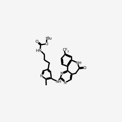 Cc1ncc(CCCNC(=O)OC(C)(C)C)cc1Nc1ncc2c(n1)-c1ccc(C(F)(F)F)cc1NC(=O)C2